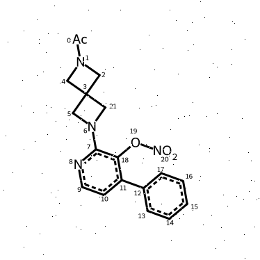 CC(=O)N1CC2(C1)CN(c1nccc(-c3ccccc3)c1O[N+](=O)[O-])C2